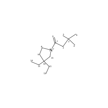 C=C(CC(C)(C)C)N1CCC(CC)(CC)C1